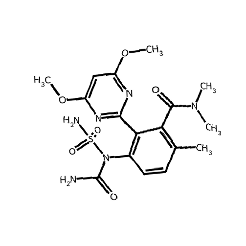 COc1cc(OC)nc(-c2c(N(C(N)=O)S(N)(=O)=O)ccc(C)c2C(=O)N(C)C)n1